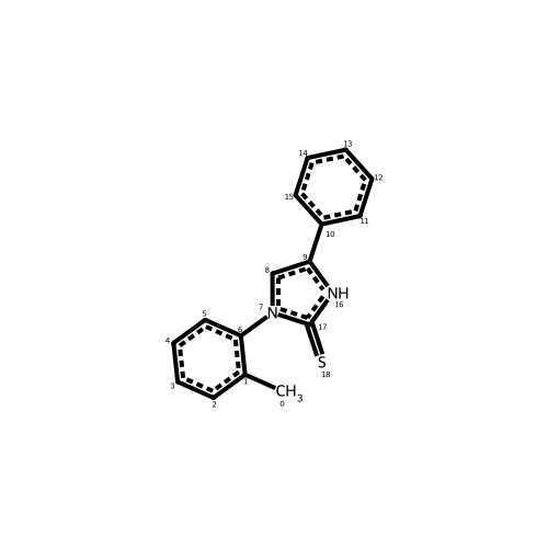 Cc1ccccc1-n1cc(-c2ccccc2)[nH]c1=S